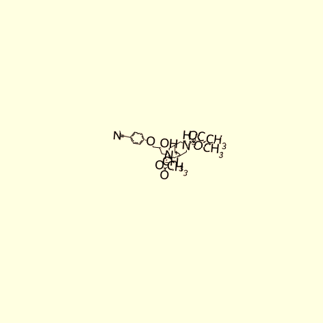 CC(=O)[O-].CC(C)(C)OC(=O)N1CC2CC(C1)C[N+](C)(C[C@H](O)COc1ccc(C#N)cc1)C2